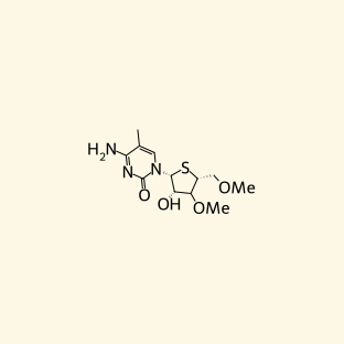 COC[C@H]1S[C@@H](n2cc(C)c(N)nc2=O)[C@@H](O)C1OC